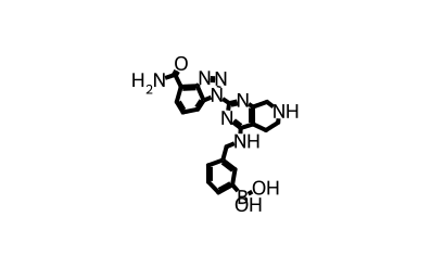 NC(=O)c1cccc2c1nnn2-c1nc2c(c(NCc3cccc(B(O)O)c3)n1)CCNC2